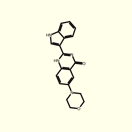 O=c1nc(-c2c[nH]c3ccccc23)[nH]c2ccc(N3CCOCC3)cc12